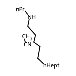 CC#N.CCCCCCCCCCCCNCCC